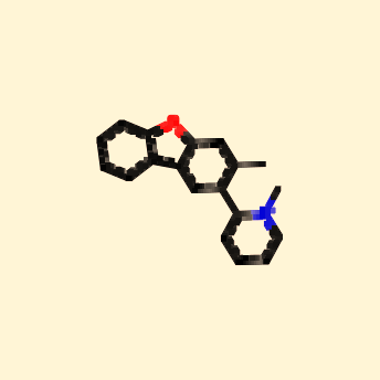 Cc1cc2oc3ccccc3c2cc1-c1cccc[n+]1C